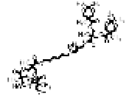 CC1(C)OCC(C)(C(=O)OCC(C)(COC(=O)C2(C)COC(C)(C)OC2)C(=O)OCc2cn(CCCCCCOC(=O)C(C)(COC(=O)C(C)(CO)CO)COC(=O)C(C)(CO)CO)nn2)CO1